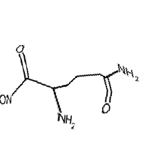 NC(=O)CC(N)C(=O)N=O